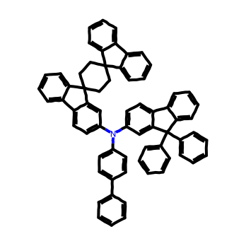 c1ccc(-c2ccc(N(c3ccc4c(c3)C3(CCC5(CC3)c3ccccc3-c3ccccc35)c3ccccc3-4)c3ccc4c(c3)C(c3ccccc3)(c3ccccc3)c3ccccc3-4)cc2)cc1